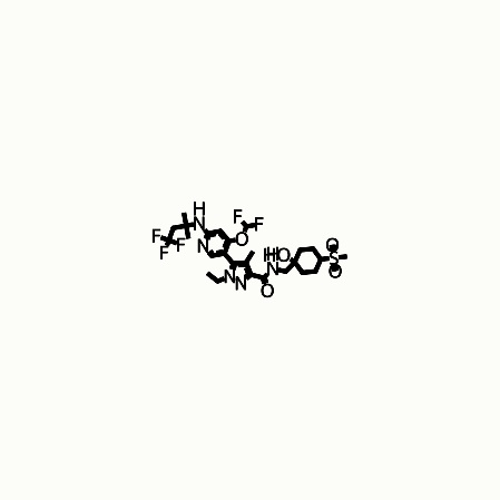 CCn1nc(C(=O)NCC2(O)CCC(S(C)(=O)=O)CC2)c(C)c1-c1cnc(NC(C)(C)CC(F)(F)F)cc1OC(F)F